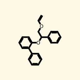 C=COCC(Oc1ccccc1-c1ccccc1)c1ccccc1